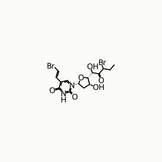 CCC(Br)C(=O)C(O)[C@H]1O[C@@H](n2cc(C=CBr)c(=O)[nH]c2=O)C[C@@H]1O